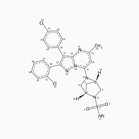 CCCS(=O)(=O)N1C[C@@H]2C[C@H]1CN2c1cc(C)nc2c(-c3ccc(Cl)cc3)c(-c3ccccc3Cl)nn12